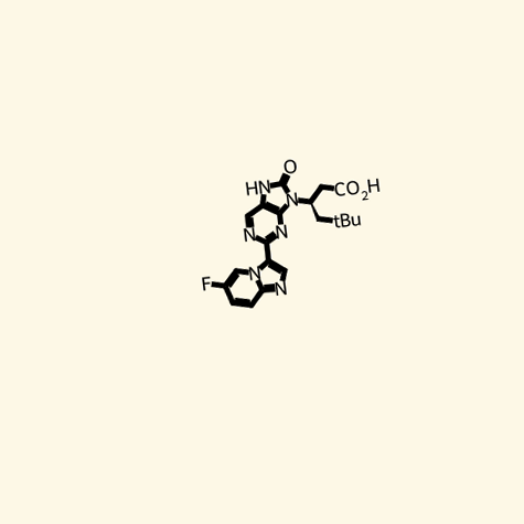 CC(C)(C)C[C@H](CC(=O)O)n1c(=O)[nH]c2cnc(-c3cnc4ccc(F)cn34)nc21